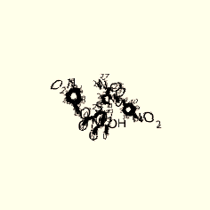 CC(O)[C@H]1C(=O)N2C(C(=O)OCc3ccc([N+](=O)[O-])cc3)=C(S[C@H]3CC(C(=O)N(C)C)N(C(=O)OCc4ccc([N+](=O)[O-])cc4)C3)[C@H](C)[C@H]12